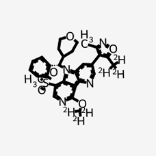 [2H]C([2H])([2H])Oc1ncc(S(C)(=O)=O)c2c1c1ncc(-c3c(C)noc3C([2H])([2H])[2H])cc1n2[C@H](c1ccccc1)C1CCOCC1